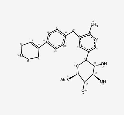 CS[C@H]1OC(c2ccc(C)c(Cc3ccc(C4=CCOCC4)cc3)c2)[C@H](O)[C@@H](O)C1O